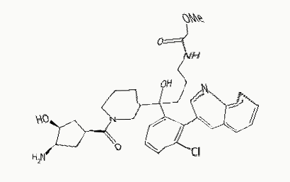 COC(=O)NCCCC(O)(c1cccc(Cl)c1-c1cnc2ccccc2c1)C1CCCN(C(=O)[C@H]2C[C@@H](N)[C@@H](O)C2)C1